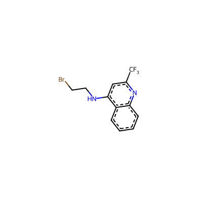 FC(F)(F)c1cc(NCCBr)c2ccccc2n1